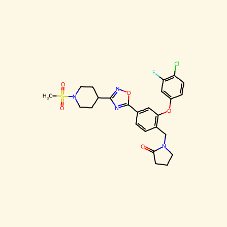 CS(=O)(=O)N1CCC(c2noc(-c3ccc(CN4CCCC4=O)c(Oc4ccc(Cl)c(F)c4)c3)n2)CC1